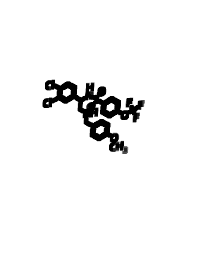 COc1ccc(CNCC(NS(=O)(=O)c2ccc(OC(F)(F)F)cc2)c2ccc(Cl)c(Cl)c2)cc1